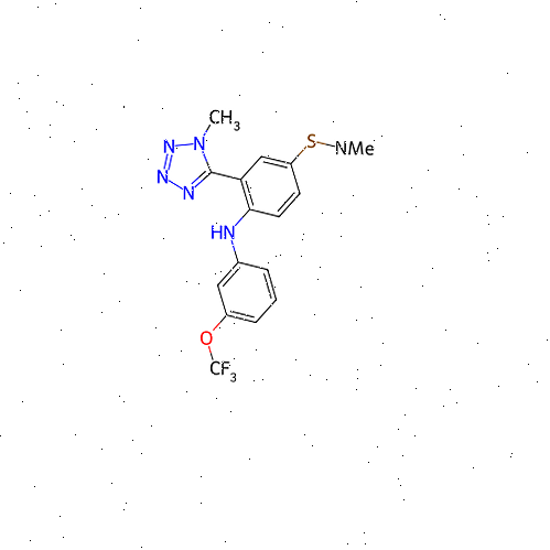 CNSc1ccc(Nc2cccc(OC(F)(F)F)c2)c(-c2nnnn2C)c1